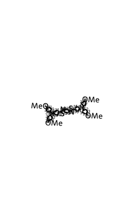 COc1ccc(N(c2ccc(OC)cc2)c2ccc(-c3nc4cc5sc(-c6ccc(N(c7ccc(OC)cc7)c7ccc(OC)cc7)cc6)nc5cc4s3)cc2)cc1